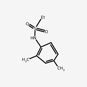 CCS(=O)(=O)Nc1ccc(C)cc1C